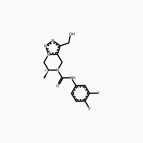 C[C@H]1Cn2nnc(CO)c2CN1C(=O)Nc1ccc(F)c(F)c1